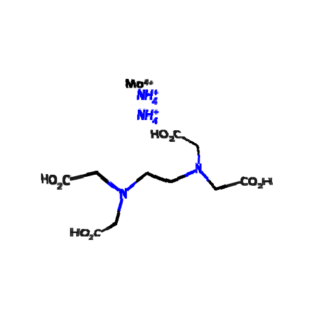 O=C(O)CN(CCN(CC(=O)O)CC(=O)O)CC(=O)O.[Mo+4].[NH4+].[NH4+]